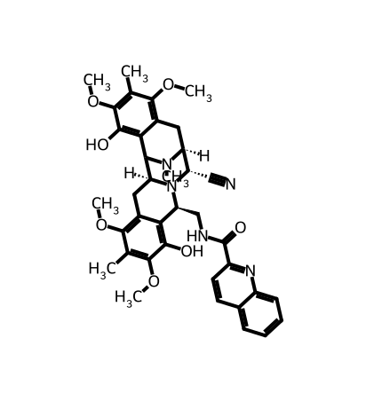 COc1c(C)c(OC)c2c(c1O)C1[C@@H]3Cc4c(OC)c(C)c(OC)c(O)c4[C@H](CNC(=O)c4ccc5ccccc5n4)N3[C@@H](C#N)[C@H](C2)N1C